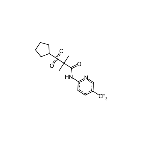 CC(C)(C(=O)Nc1ccc(C(F)(F)F)cn1)S(=O)(=O)C1CCCC1